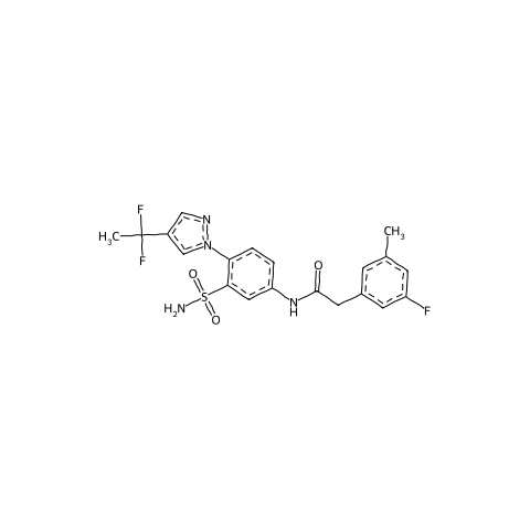 Cc1cc(F)cc(CC(=O)Nc2ccc(-n3cc(C(C)(F)F)cn3)c(S(N)(=O)=O)c2)c1